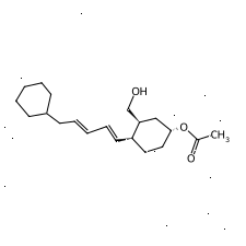 CC(=O)O[C@@H]1CC[C@@H](/C=C/C=C/CC2CCCCC2)[C@@H](CO)C1